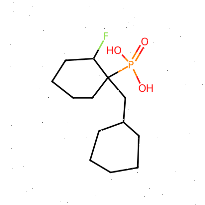 O=P(O)(O)C1(CC2CCCCC2)CCCCC1F